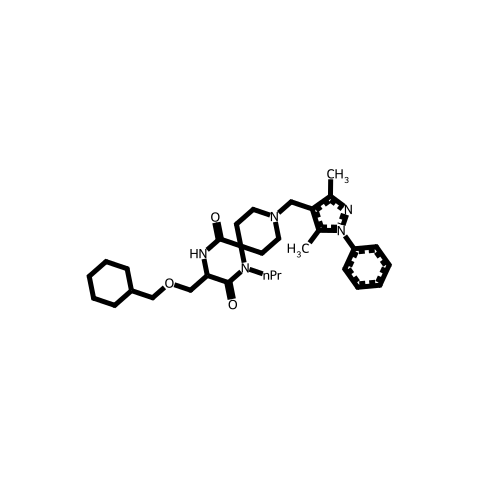 CCCN1C(=O)C(COCC2CCCCC2)NC(=O)C12CCN(Cc1c(C)nn(-c3ccccc3)c1C)CC2